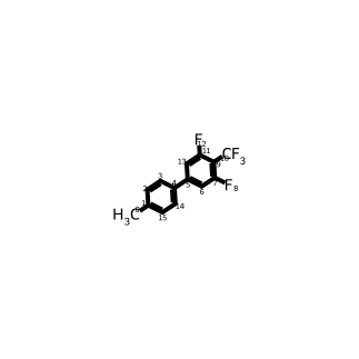 Cc1ccc(-c2cc(F)c(C(F)(F)F)c(F)c2)cc1